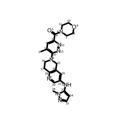 Cc1cc(C(=O)N2CCOCC2)nnc1N1CCc2ncc(Nc3ccnn3C)cc2C1